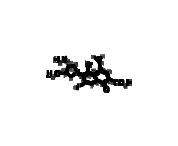 C[C@@H]1CN(c2c(F)cc3c(=O)c(C(=O)O)cn(C4CC4)c3c2Br)C[C@H]1N